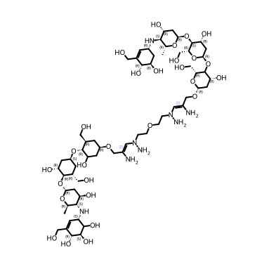 C[C@H]1O[C@H](O[C@@H]2[C@@H](CO)C[C@H](O[C@H]3C(O)C[C@H](OC/C(N)=C/N(N)CCOCCN(N)/C=C(\N)CO[C@H]4C[C@@H](O)C(O[C@@H]5C[C@@H](O)[C@H](O[C@@H]6C[C@@H](O)[C@H](N[C@H]7C=C(CO)[C@@H](O)[C@H](O)C7)[C@@H](C)O6)[C@@H](CO)O5)[C@@H](CO)O4)C[C@@H]3CO)C[C@H]2O)C[C@@H](O)[C@@H]1N[C@H]1C=C(CO)[C@@H](O)[C@H](O)C1O